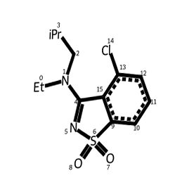 CCN(CC(C)C)C1=NS(=O)(=O)c2cccc(Cl)c21